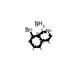 Brc1cccc2ccncc12.N